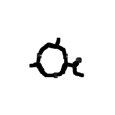 CCC(=O)C1=CCCC=C(C)CCC=C(C)CC1